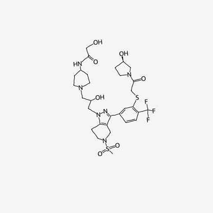 CS(=O)(=O)N1CCc2c(c(-c3ccc(C(F)(F)F)c(SCC(=O)N4CC[C@@H](O)C4)c3)nn2CC(O)CN2CCC(NC(=O)CO)CC2)C1